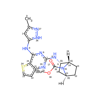 Cc1cc(Nc2nc(N[C@H]3C[C@@H]4CC[C@@H]3N4C(=O)OC(C)(C)C)nc3ccsc23)[nH]n1